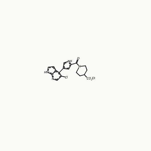 CCOC(=O)C1CCN(C(=O)c2cc(-c3c(Cl)cnc4[nH]ccc34)c[nH]2)CC1